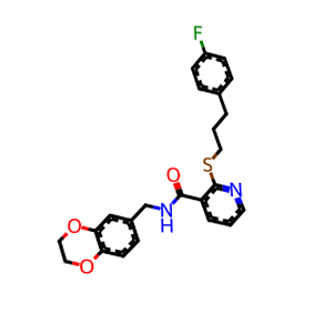 O=C(NCc1ccc2c(c1)OCCO2)c1cccnc1SCCCc1ccc(F)cc1